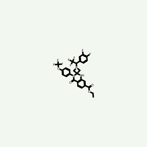 CCOC(=O)c1ccc2c(c1)NC1(CN(C(c3ccc(F)c(F)c3)C(F)(F)F)C1)N(c1ccc(OC(F)(F)F)cc1)C2=O